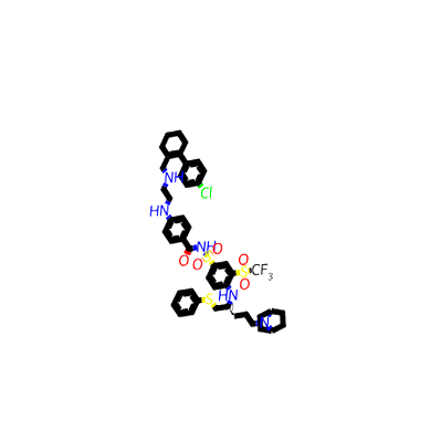 O=C(NS(=O)(=O)c1ccc(N[C@H](CCCN2C3CCC2CC3)CSc2ccccc2)c(S(=O)(=O)C(F)(F)F)c1)c1ccc(NCCNCC2=C(c3ccc(Cl)cc3)CCCC2)cc1